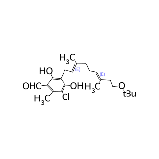 C/C(=C\Cc1c(O)c(Cl)c(C)c(C=O)c1O)CC/C=C(\C)CCOC(C)(C)C